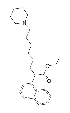 CCOC(=O)C(CCCCCCN1CCCCC1)c1cccc2ccccc12